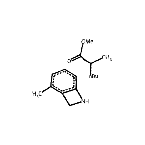 CCCCC(C)C(=O)OC.Cc1cccc2c1CN2